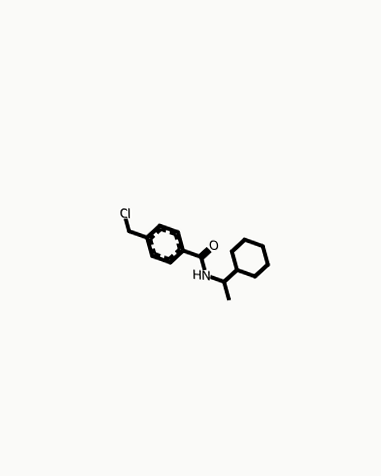 CC(NC(=O)c1ccc(CCl)cc1)C1CCCCC1